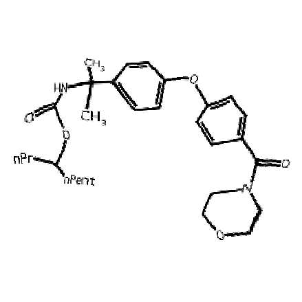 CCCCCC(CCC)OC(=O)NC(C)(C)c1ccc(Oc2ccc(C(=O)N3CCOCC3)cc2)cc1